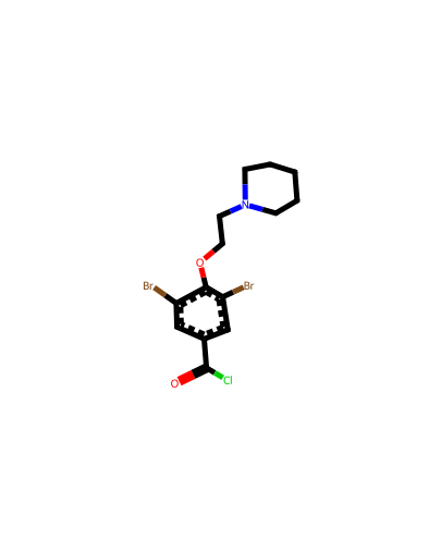 O=C(Cl)c1cc(Br)c(OCCN2CCCCC2)c(Br)c1